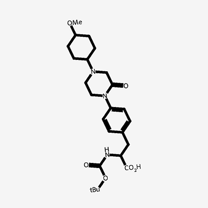 COC1CCC(N2CCN(c3ccc(CC(NC(=O)OC(C)(C)C)C(=O)O)cc3)C(=O)C2)CC1